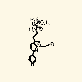 CC(C)Cn1cc(CCNS(=O)(=O)N(C)C)c2ccc(-c3ccncc3)nc21